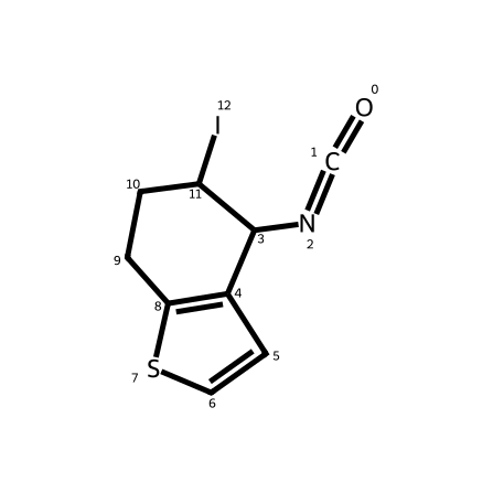 O=C=NC1c2ccsc2CCC1I